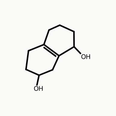 OC1CCC2=C(C1)C(O)CCC2